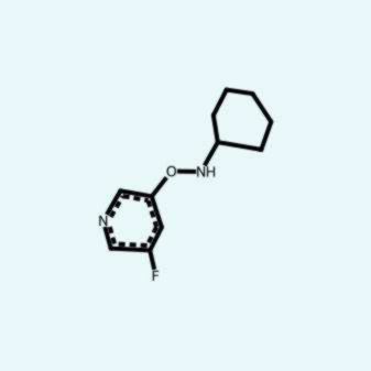 Fc1cncc(ONC2CCCCC2)c1